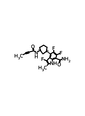 CC#CC(=O)N[C@H]1CCC[C@@H](c2c(F)c(F)c(C(N)=O)c3[nH]c(C)c(F)c23)C1